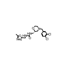 Cc1nnc(CNC(=O)NC[C@H]2CN(Cc3ccc(Cl)c(Cl)c3)CCO2)o1